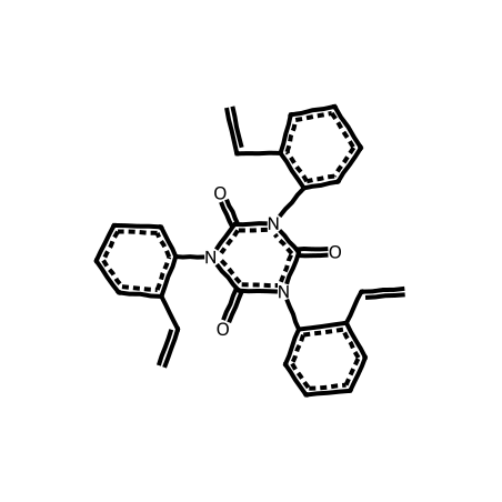 C=Cc1ccccc1-n1c(=O)n(-c2ccccc2C=C)c(=O)n(-c2ccccc2C=C)c1=O